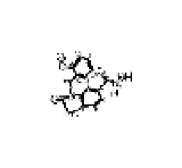 O=C(NO)c1ccc2c(c1)N(Cc1ccccc1OC(F)(F)F)C(=O)CO2